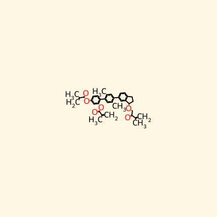 C=C(C)C(=O)COC1CCc2ccc(-c3cc(C)c(-c4ccc(OC(=O)C(=C)C)cc4OC(=O)C(=C)C)cc3C)cc21